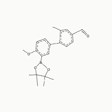 COc1ccc(-c2ccc(C=O)cc2C)cc1B1OC(C)(C)C(C)(C)O1